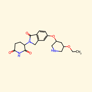 CCOC1CNCC(Oc2ccc3c(c2)CN(C2CCC(=O)NC2=O)C3=O)C1